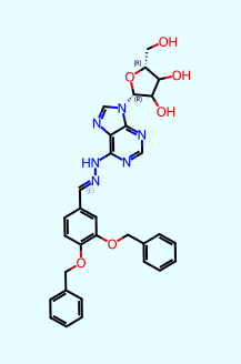 OC[C@H]1O[C@@H](n2cnc3c(N/N=C/c4ccc(OCc5ccccc5)c(OCc5ccccc5)c4)ncnc32)C(O)C1O